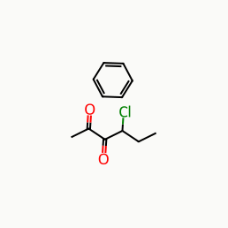 CCC(Cl)C(=O)C(C)=O.c1ccccc1